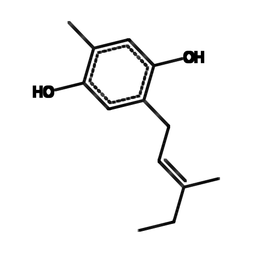 CC/C(C)=C/Cc1cc(O)c(C)cc1O